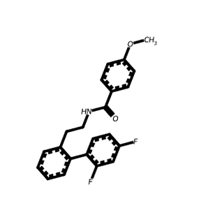 COc1ccc(C(=O)NCCc2ccccc2-c2ccc(F)cc2F)cc1